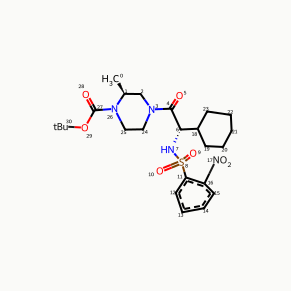 C[C@H]1CN(C(=O)[C@@H](NS(=O)(=O)c2ccccc2[N+](=O)[O-])C2CCCCC2)CCN1C(=O)OC(C)(C)C